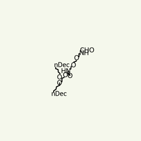 CCCCCCCCCCCCCCOCC(COC(=O)NCCOCCOCCNC=O)OCCCCCCCCCCCCCC